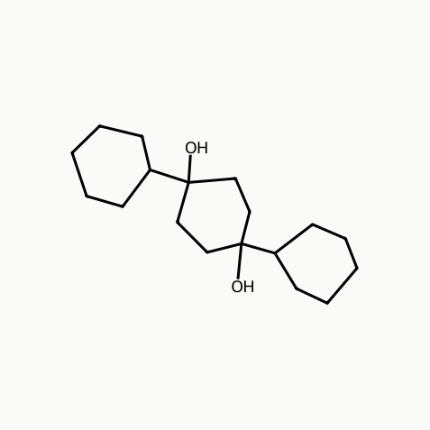 OC1(C2CCCCC2)CCC(O)(C2CCCCC2)CC1